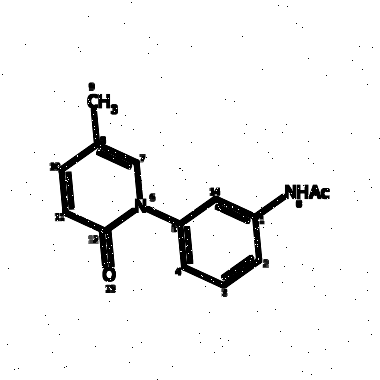 CC(=O)Nc1cccc(-n2cc(C)ccc2=O)c1